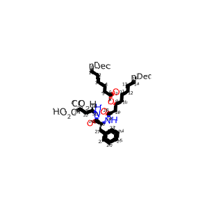 CCCCCCCCCCCCCCCC(=O)OC(CCCCCCCCCCCCCCC)CC(=O)N[C@@H](Cc1ccccc1)C(=O)N[C@@H](CCC(=O)O)C(=O)O